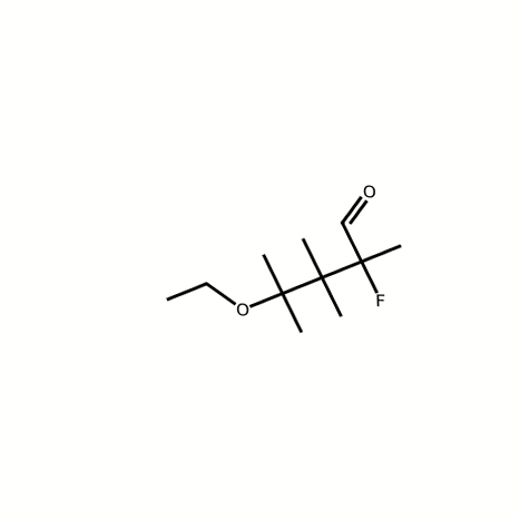 CCOC(C)(C)C(C)(C)C(C)(F)C=O